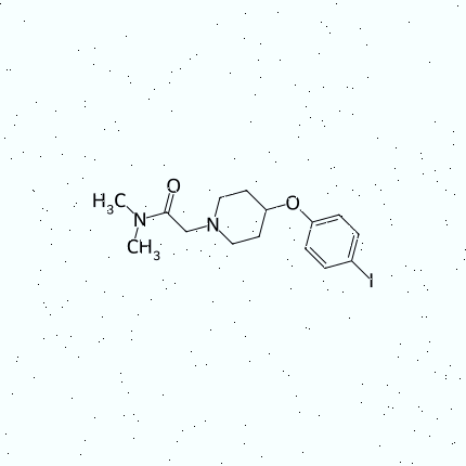 CN(C)C(=O)CN1CCC(Oc2ccc(I)cc2)CC1